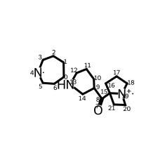 C1CCC[N]CC1.O=C(C1CCCNC1)C12CCC[N+]1CC2